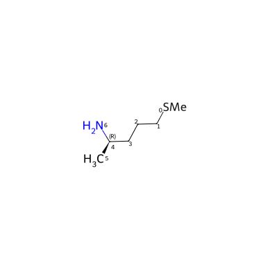 CSCCC[C@@H](C)N